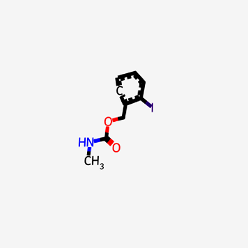 CNC(=O)OCc1ccccc1I